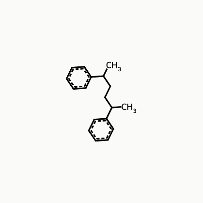 CC(CCC(C)c1ccccc1)c1ccccc1